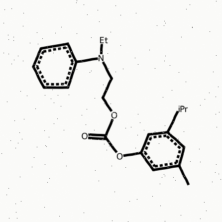 CCN(CCOC(=O)Oc1cc(C)cc(C(C)C)c1)c1ccccc1